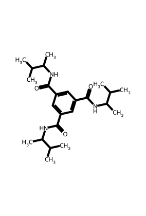 CC(C)C(C)NC(=O)c1cc(C(=O)NC(C)C(C)C)cc(C(=O)NC(C)C(C)C)c1